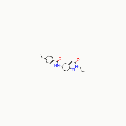 CCCn1nc2c(cc1=O)CC(NC(=O)c1ccc(CC)cc1)CC2